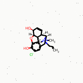 C=CC[N+]1(C)CC[C@]23c4c5ccc(O)c4O[C@H]2[C@@H](O)C=C[C@H]3[C@H]1C5.[Cl-]